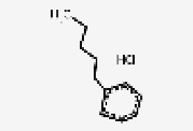 CCCCCc1ccccc1.Cl